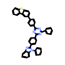 c1ccc(-c2nc(-c3ccc(-c4ccc5sc6ccccc6c5c4)cc3)nc(-c3ccc(-c4nc5ccccc5n4-c4ccccc4)cc3)n2)cc1